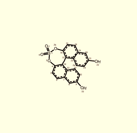 O=S1(=O)Oc2ccc3cc(O)ccc3c2-c2c(ccc3cc(O)ccc23)O1